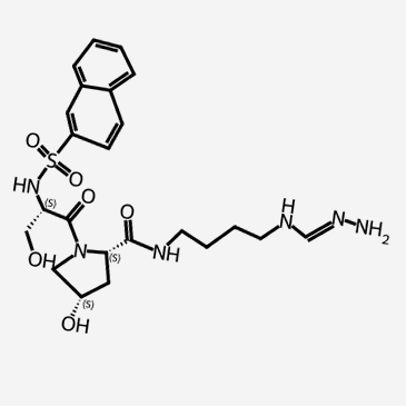 NN=CNCCCCNC(=O)[C@@H]1C[C@H](O)CN1C(=O)[C@H](CO)NS(=O)(=O)c1ccc2ccccc2c1